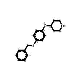 c1ccc(CSc2ccc(OC3CCOCC3)cc2)cc1